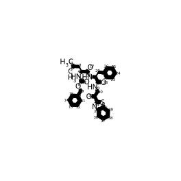 CC(C)C[C@H](NC(=O)OCc1ccccc1)C(=O)N[C@@H](Cc1ccccc1)C(=O)NCC(=O)c1nc2ccccc2s1